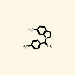 C=C(c1ccc(C)cc1)N1CCc2ccc(C)cc21